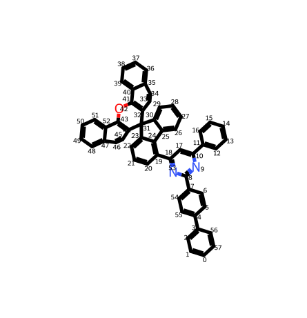 c1ccc(-c2ccc(-c3nc(-c4ccccc4)cc(-c4cccc5c4-c4ccccc4C54c5ccc6ccccc6c5Oc5c4ccc4ccccc54)n3)cc2)cc1